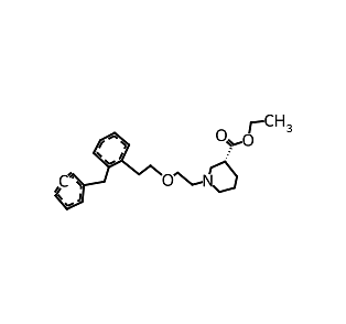 CCOC(=O)[C@@H]1CCCN(CCOCCc2ccccc2Cc2ccccc2)C1